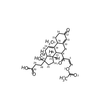 CC(=O)O/C=C\C(=O)C1CC2=CC(=O)CC[C@]2(C)C2=CC[C@@]3(C)[C@@H](CC[C@]3(O)CCC(=O)O)[C@@H]21